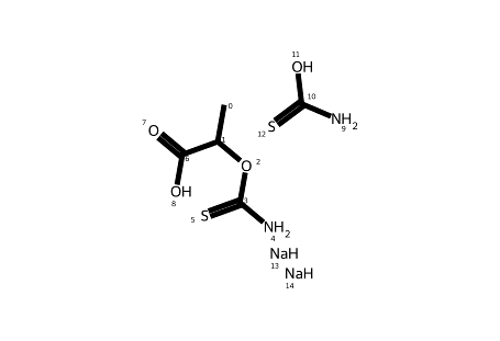 CC(OC(N)=S)C(=O)O.NC(O)=S.[NaH].[NaH]